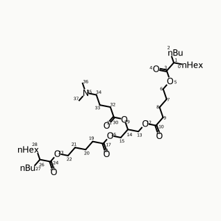 CCCCCCC(CCCC)C(=O)OCCCCC(=O)OCC(COC(=O)CCCCOC(=O)C(CCCC)CCCCCC)OC(=O)CCCN(C)C